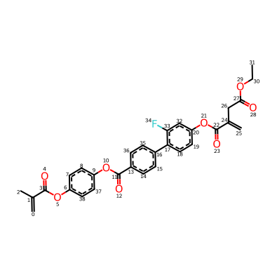 C=C(C)C(=O)Oc1ccc(OC(=O)c2ccc(-c3ccc(OC(=O)C(=C)CC(=O)OCC)cc3F)cc2)cc1